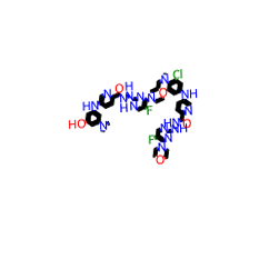 CN(C)c1cc(O)cc(Nc2ccc(C(=O)NNc3ncc(F)c(N4CCOC(CN(C)c5ccc(Nc6ccc(C(=O)NNc7ncc(F)c(N8CCOCC8)n7)nc6)cc5Cl)C4)n3)nc2)c1